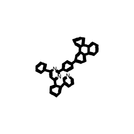 c1ccc(-c2cc(-c3ccccc3-c3cccnc3)nc(-c3ccc(-c4ccc5c6ccccc6c6ccccc6c5c4)cc3)n2)cc1